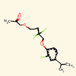 CC(=O)COCCC(F)(F)COc1ccc(C(C)C)cc1F